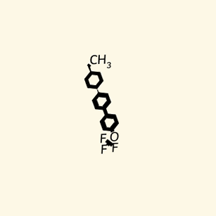 CC[C@H]1CC[C@H](c2ccc(-c3ccc(OC(F)(F)F)cc3)cc2)CC1